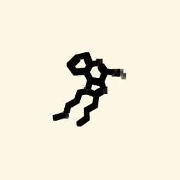 CCCCc1nc2c(N)nc3ccccc3c2n1CCCSC